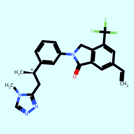 C=Cc1cc2c(c(C(F)(F)F)c1)CN(c1cccc([C@H](C)Cc3nncn3C)c1)C2=O